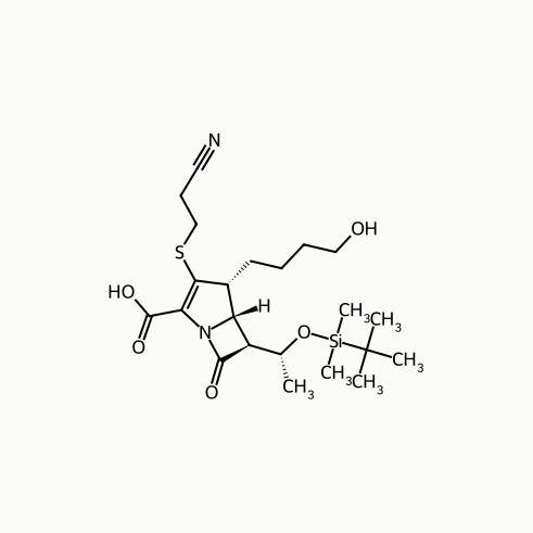 C[C@@H](O[Si](C)(C)C(C)(C)C)[C@H]1C(=O)N2C(C(=O)O)=C(SCCC#N)[C@H](CCCCO)[C@H]12